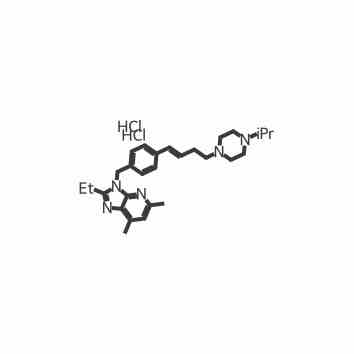 CCc1nc2c(C)cc(C)nc2n1Cc1ccc(C=CCCN2CCN(C(C)C)CC2)cc1.Cl.Cl